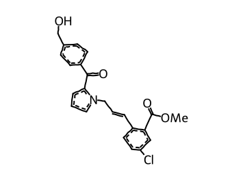 COC(=O)c1cc(Cl)ccc1C=CCn1cccc1C(=O)c1ccc(CO)cc1